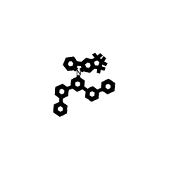 CC1(C)c2cc3c4ccccc4n(-c4cc(-c5cccc(-c6ccccc6)c5)cc(-c5cccc(-c6ccccc6)c5)c4)c3cc2C(C)(C)C1(C)C